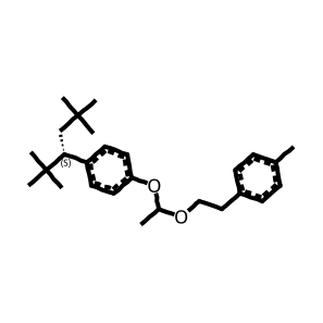 Cc1ccc(CCOC(C)Oc2ccc([C@@H](CC(C)(C)C)C(C)(C)C)cc2)cc1